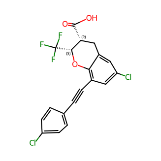 O=C(O)[C@@H]1Cc2cc(Cl)cc(C#Cc3ccc(Cl)cc3)c2O[C@@H]1C(F)(F)F